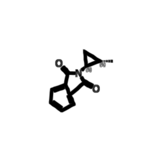 C[C@H]1C[C@@H]1N1C(=O)c2ccccc2C1=O